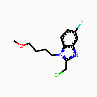 COCCCCn1c(CCl)nc2cc(F)ccc21